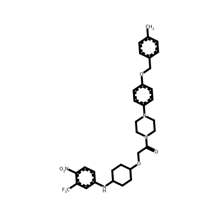 Cc1ccc(COc2ccc(N3CCN(C(=O)COC4CCC(Nc5ccc([N+](=O)[O-])c(C(F)(F)F)c5)CC4)CC3)cc2)cc1